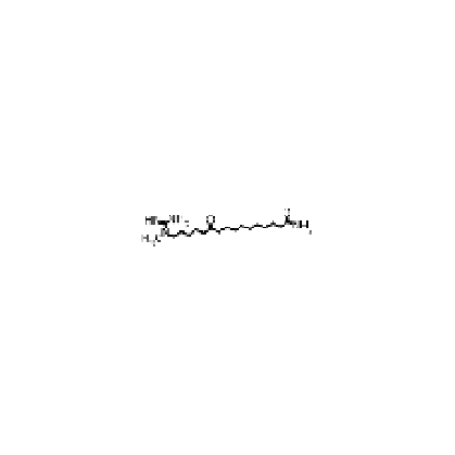 CN(CCCCCC(=O)CCCCCCCCCC(N)=O)C(=N)N